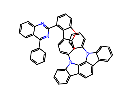 C1=CCCC(n2c3ccccc3c3ccc4c5ccccc5n(-c5ccc6c(c5)oc5cccc(-c7nc(-c8ccccc8)c8ccccc8n7)c56)c4c32)=C1